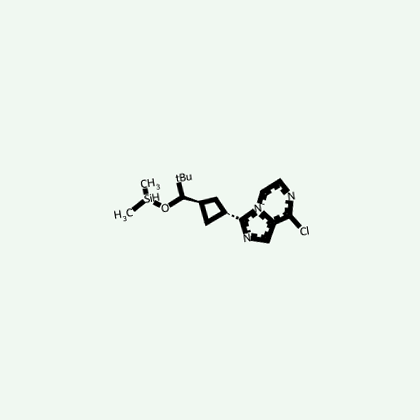 C[SiH](C)OC([C@H]1C[C@H](c2ncc3c(Cl)nccn32)C1)C(C)(C)C